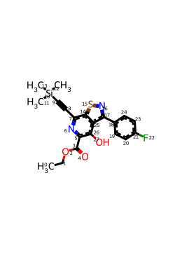 CCOC(=O)c1nc(C#C[Si](C)(C)C)c2snc(-c3ccc(F)cc3)c2c1O